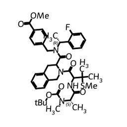 COC(=O)c1ccc(CN(C(=O)C2Cc3ccccc3CN2C(=O)C(NC(=O)[C@H](C)N(C)C(=O)OC(C)(C)C)C(C)(C)SC)[C@H](C)c2ccccc2F)cc1